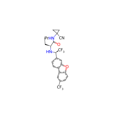 CC(C)C[C@H](N[C@H](c1ccc2c(c1)oc1ccc(C(F)(F)F)cc12)C(F)(F)F)C(=O)NC1(C#N)CC1